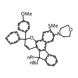 CCCCC1(CCC)c2ccccc2-c2c1c1c(c3cc(SC)c(N4CCOCC4)cc23)OC(c2ccccc2)(c2ccc(OC)cc2)C=C1